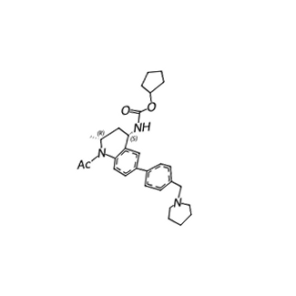 CC(=O)N1c2ccc(-c3ccc(CN4CCCCC4)cc3)cc2[C@@H](NC(=O)OC2CCCC2)C[C@H]1C